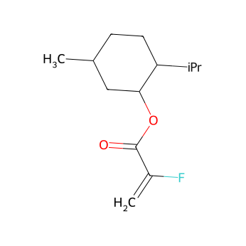 C=C(F)C(=O)OC1CC(C)CCC1C(C)C